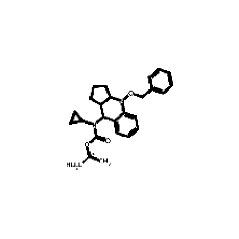 C[C@H](OC(=O)N(C1CC1)C1c2ccccc2N(OCc2ccccc2)C2CCCC21)C(=O)O